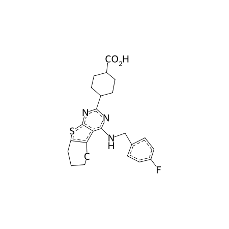 O=C(O)C1CCC(c2nc(NCc3ccc(F)cc3)c3c4c(sc3n2)CCCC4)CC1